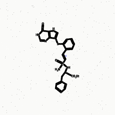 CCOC(=O)C(Cc1ccccc1)NP(N)(=O)/C=C/c1ccccc1Sc1c[nH]c2c(=O)[nH]cnc12